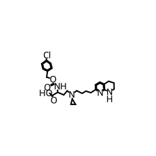 O=C(NC(CCN(CCCCc1ccc2c(n1)NCCC2)C1CC1)C(=O)O)OCc1ccc(Cl)cc1